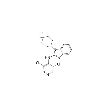 CC1(C)CCC(n2c(Nc3c(Cl)cncc3Cl)nc3ccccc32)CC1